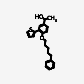 CC(O)c1ccc(OCCCCCc2ccccc2)c(-c2cccs2)c1